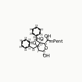 CCCCCC(O)[C@H]1O[C@H](O)C[C@](O)(Cc2ccccc2)[C@@]1(O)Cc1ccccc1